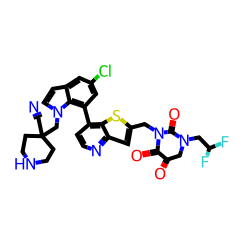 N#CC1(Cn2ccc3cc(Cl)cc(-c4ccnc5cc(CN6C(=O)C(=O)CN(CC(F)F)C6=O)sc45)c32)CCNCC1